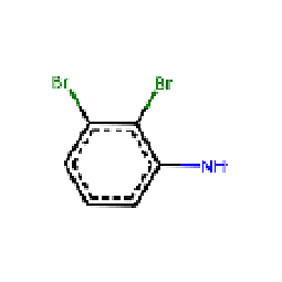 [NH]c1cccc(Br)c1Br